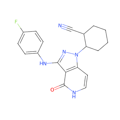 N#CC1CCCCC1n1nc(Nc2ccc(F)cc2)c2c(=O)[nH]ccc21